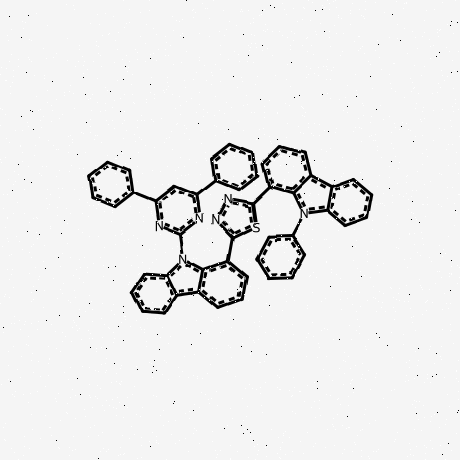 c1ccc(-c2cc(-c3ccccc3)nc(-n3c4ccccc4c4cccc(-c5nnc(-c6cccc7c8ccccc8n(-c8ccccc8)c67)s5)c43)n2)cc1